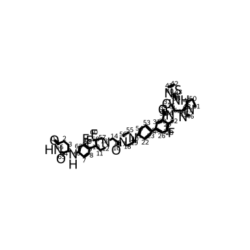 O=C1CCC(Nc2ccc(C3CCN(CC(=O)N4CCN(c5ccc(-c6cc(F)c7c(c6)C(=O)N(C(C(=O)Nc6nccs6)c6ncn8c6CCC8)C7)cc5)CC4)CC3(F)F)c(F)c2)C(=O)N1